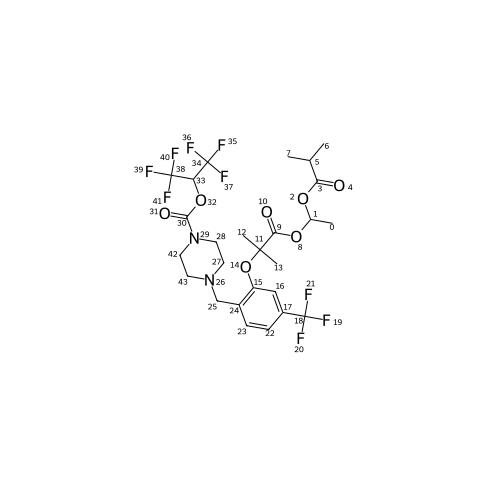 CC(OC(=O)C(C)C)OC(=O)C(C)(C)Oc1cc(C(F)(F)F)ccc1CN1CCN(C(=O)OC(C(F)(F)F)C(F)(F)F)CC1